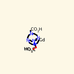 O=C(O)CN1CCN2CCN(CC(=O)O)CCN(CC1)CCN(CC(=O)O)CC2.[Gd]